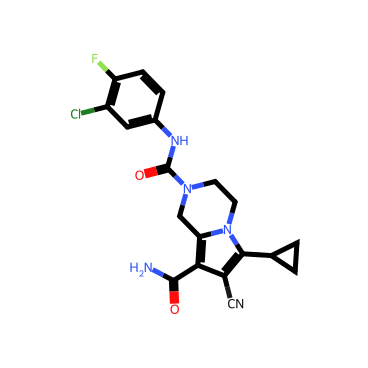 N#Cc1c(C(N)=O)c2n(c1C1CC1)CCN(C(=O)Nc1ccc(F)c(Cl)c1)C2